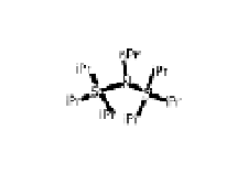 CCCN([Si](C(C)C)(C(C)C)C(C)C)[Si](C(C)C)(C(C)C)C(C)C